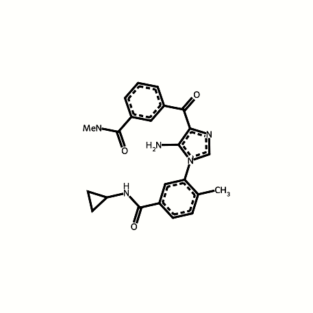 CNC(=O)c1cccc(C(=O)c2ncn(-c3cc(C(=O)NC4CC4)ccc3C)c2N)c1